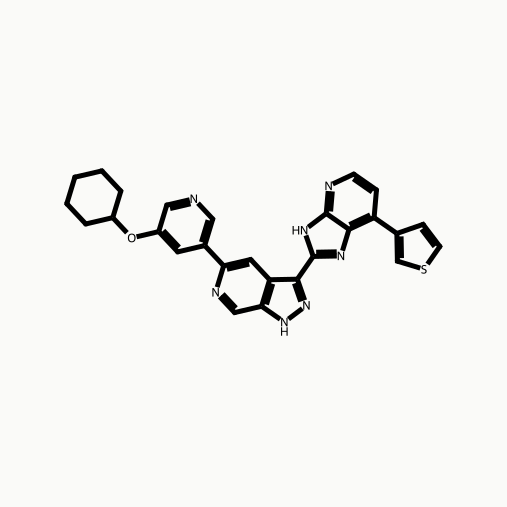 c1cc(-c2ccsc2)c2nc(-c3n[nH]c4cnc(-c5cncc(OC6CCCCC6)c5)cc34)[nH]c2n1